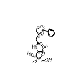 CCCCCCCCCCC[C@H](CC(=O)N[C@H]1[C@@H](O)[C@H](O)[C@@H](CO)O[C@@H]1O)OCc1ccccc1